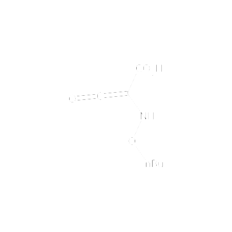 CCCCONC(=C=O)C(=O)O